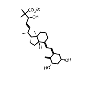 C=C1/C(=C\C=C2/CCC[C@]3(C)[C@@H]([C@H](C)/C=C/[C@H](O)C(C)(C)C(=O)OCC)CC[C@@H]23)C[C@@H](O)C[C@@H]1O